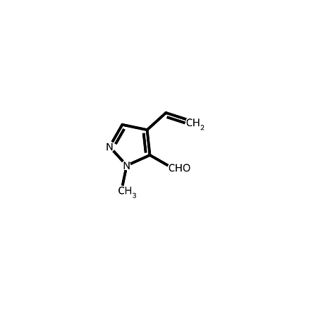 C=Cc1cnn(C)c1C=O